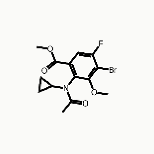 COC(=O)c1cc(F)c(Br)c(OC)c1N(C(C)=O)C1CC1